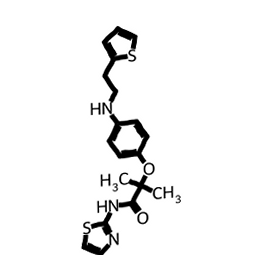 CC(C)(Oc1ccc(NCCc2cccs2)cc1)C(=O)Nc1nccs1